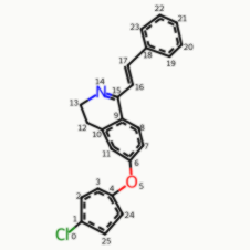 Clc1ccc(Oc2ccc3c(c2)CCN=C3/C=C/c2ccccc2)cc1